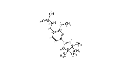 COc1cc(B2OC(C)(C)C(C)(C)O2)ccc1CNC(=O)O